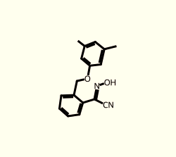 Cc1cc(C)cc(OCc2ccccc2C(C#N)=NO)c1